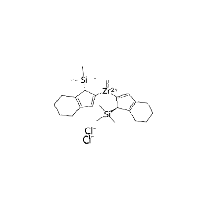 [CH2]=[Zr+2]([C]1=CC2=C(CCCC2)[C@@H]1[Si](C)(C)C)[C]1=CC2=C(CCCC2)[C@H]1[Si](C)(C)C.[Cl-].[Cl-]